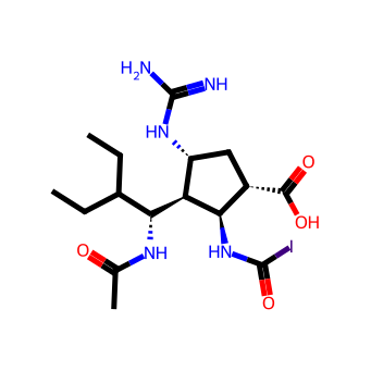 CCC(CC)[C@@H](NC(C)=O)[C@@H]1[C@H](NC(=O)I)[C@@H](C(=O)O)C[C@H]1NC(=N)N